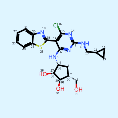 OC[C@H]1C[C@@H](Nc2nc(NCC3CC3)nc(Cl)c2-c2nc3ccccc3s2)[C@H](O)[C@@H]1O